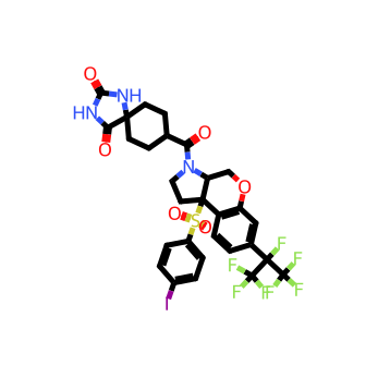 O=C1NC(=O)C2(CCC(C(=O)N3CCC4(S(=O)(=O)c5ccc(I)cc5)c5ccc(C(F)(C(F)(F)F)C(F)(F)F)cc5OCC34)CC2)N1